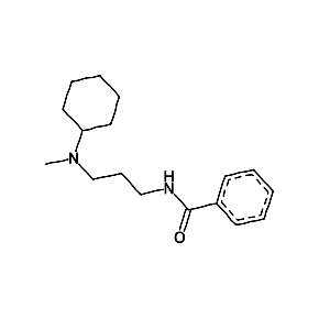 CN(CCCNC(=O)c1ccccc1)C1CCCCC1